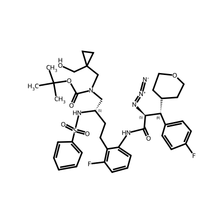 CC(C)(C)OC(=O)N(C[C@H](CCc1c(F)cccc1NC(=O)[C@@H](N=[N+]=[N-])[C@@H](c1ccc(F)cc1)C1CCOCC1)NS(=O)(=O)c1ccccc1)CC1(CO)CC1